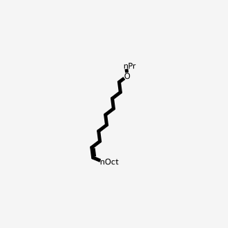 CCCCCCCC/C=C\CCCCCCCCOCCC